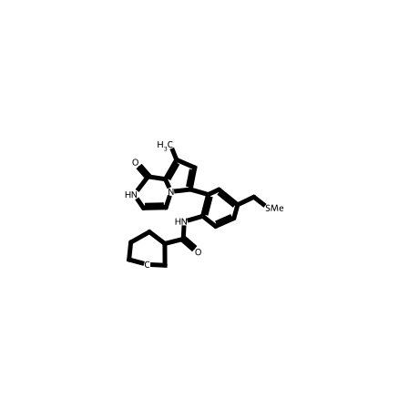 CSCc1ccc(NC(=O)C2CCCCC2)c(-c2cc(C)c3c(=O)[nH]ccn23)c1